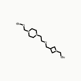 CC(C)(C)CN1CC(COCCN2CCN(COC(C)(C)C)CC2)C1